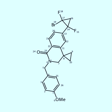 COc1ccc(CN2CC3(CC3)c3cc(C4(F)CC4(F)Br)ccc3C2=O)cc1